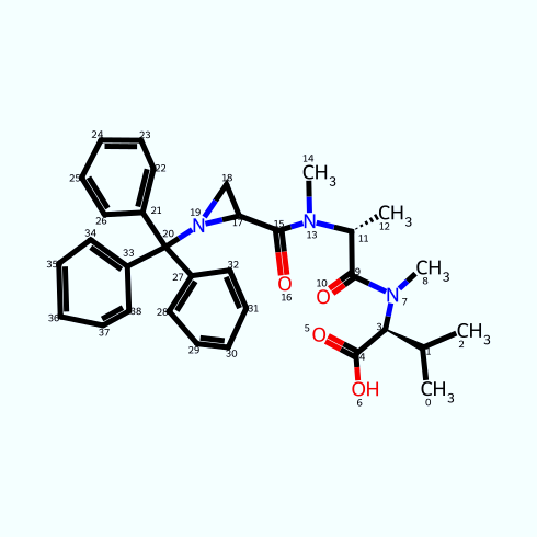 CC(C)[C@@H](C(=O)O)N(C)C(=O)[C@@H](C)N(C)C(=O)C1CN1C(c1ccccc1)(c1ccccc1)c1ccccc1